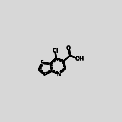 O=C(O)c1cnc2ccsc2c1Cl